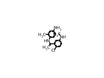 C=C(Nc1ccc(N)cc1C)c1cc(NC)ccc1Cl